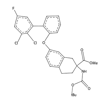 COC(=O)C1(NC(=O)OC(C)(C)C)CCc2ccc(Oc3ccccc3-c3cc(F)cc(Cl)c3Cl)cc2C1